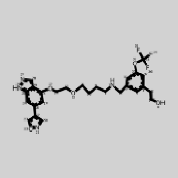 OCCc1cc(CNCCCCOCCOc2cc(-c3cnoc3)cc3[nH]ncc23)cc(OC(F)(F)F)c1